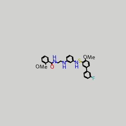 COc1ccc(-c2cccc(F)c2)cc1SNc1cccc(NCCNC(=O)c2ccccc2OC)c1